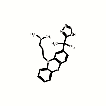 CN(C)CCCN1c2ccccc2Sc2ccc(C(C)(C)c3nnn[nH]3)cc21